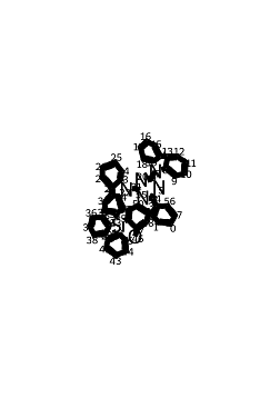 c1ccc(-c2nc(-n3c4ccccc4c4ccccc43)nc(-n3c4ccccc4c4ccc([Si]5(c6ccccc6)c6ccccc6Oc6ccccc65)cc43)n2)cc1